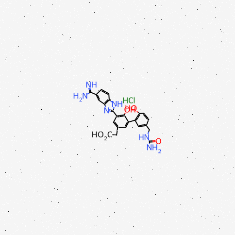 Cl.N=C(N)c1ccc2[nH]c(-c3cc(CC(=O)O)cc(-c4cc(CNC(N)=O)ccc4O)c3O)nc2c1